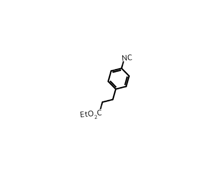 [C-]#[N+]c1ccc(CCC(=O)OCC)cc1